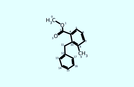 COC(=O)c1cccc(C)c1Cc1ccccc1